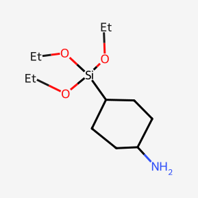 CCO[Si](OCC)(OCC)C1CCC(N)CC1